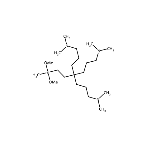 CO[Si](C)(CCC(CCCN(C)C)(CCCN(C)C)CCCN(C)C)OC